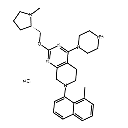 Cc1cccc2cccc(N3CCc4c(nc(OC[C@@H]5CCCN5C)nc4N4CCNCC4)C3)c12.Cl